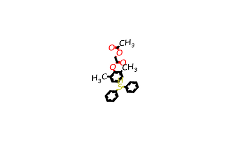 CC(=O)OCC(=O)Oc1c(C)cc([SH](c2ccccc2)c2ccccc2)cc1C